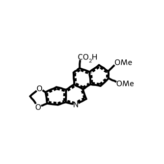 COc1cc2c(C(=O)O)cc3c4cc5c(cc4ncc3c2cc1OC)OCO5